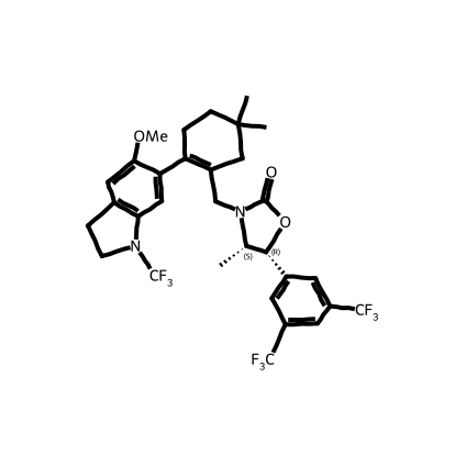 COc1cc2c(cc1C1=C(CN3C(=O)O[C@H](c4cc(C(F)(F)F)cc(C(F)(F)F)c4)[C@@H]3C)CC(C)(C)CC1)N(C(F)(F)F)CC2